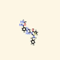 CNC(C)OC(=N)c1cccc(N/C=C\C(=N)N(CCN(C)Cc2ccccc2)C(=O)c2cccs2)c1